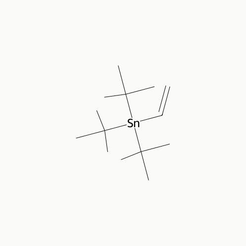 C=[CH][Sn]([C](C)(C)C)([C](C)(C)C)[C](C)(C)C